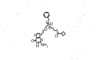 Nc1nc2c(ncn2CCOCP(=O)(OCCSC(=O)C2CCC2)OCc2ccccc2)c(=O)[nH]1